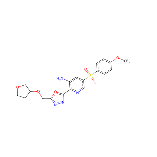 Nc1cc(S(=O)(=O)c2ccc(OC(F)(F)F)cc2)cnc1-c1nnc(COC2CCOC2)o1